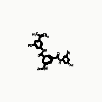 C=C(C)c1cc(NC(=O)c2cc(NC(C)C)cc(C(=O)Nc3cc(C(C)=O)cc(C(C)=O)c3)c2)cc(C(C)=O)c1